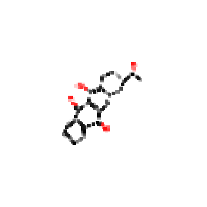 CC(=O)C1CCc2c(cc3c(c2O)C(=O)c2ccccc2C3=O)C1